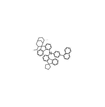 CCC1CC2CC[C@H](C)C(C2)C12c1ccccc1-c1c(N(c3ccc(-c4cccc5ccccc45)cc3)c3cccc4c3-c3ccccc3C43CCCC3)cccc12